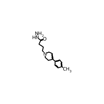 Cc1ccc(C2=CCN(CCCC(=O)NN)CC2)cc1